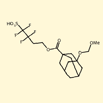 COCOC12CC3CC(C1)CC(C(=O)OCCC(F)(F)C(F)(F)S(=O)(=O)O)(C3)C2